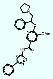 COc1cc(C(=O)Nc2nnc(-c3ccncc3)s2)cnc1OC(CN1CCCC1)c1ccccc1